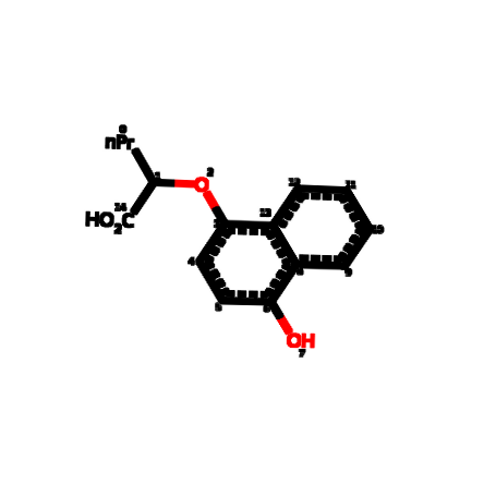 CCCC(Oc1ccc(O)c2ccccc12)C(=O)O